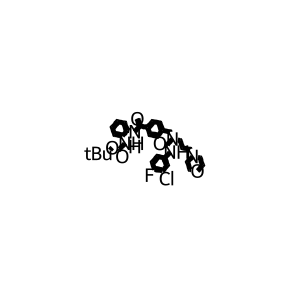 CC(C)(C)OC(=O)Nc1ccccc1NC(=O)c1ccc(CN(CCCN2CCOCC2)C(=O)Nc2ccc(F)c(Cl)c2)cc1